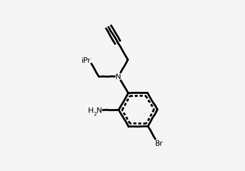 C#CCN(CC(C)C)c1ccc(Br)cc1N